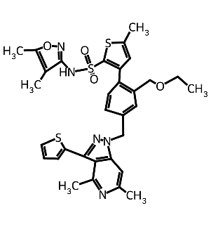 CCOCc1cc(Cn2nc(-c3cccs3)c3c(C)nc(C)cc32)ccc1-c1cc(C)sc1S(=O)(=O)Nc1noc(C)c1C